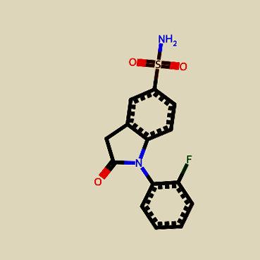 NS(=O)(=O)c1ccc2c(c1)CC(=O)N2c1ccccc1F